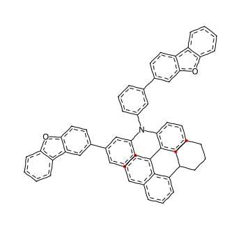 c1cc(-c2ccc3c(c2)oc2ccccc23)cc(N(c2cccc(-c3ccc4oc5ccccc5c4c3)c2)c2ccccc2-c2cccc3cccc(C4CCCCC4)c23)c1